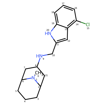 CN1C2CCCC1CC(NCc1cc3c(Cl)cccc3[nH]1)C2